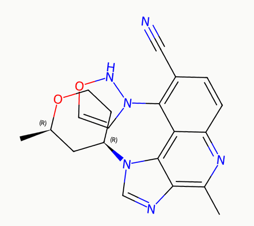 Cc1nc2ccc(C#N)c(N3C=CON3)c2c2c1ncn2[C@@H]1CCO[C@H](C)C1